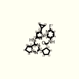 O=C(Nc1ccc(F)nc1)[C@@H]1CCC[C@H]1C1=NN2CCC=C2C(Nc2cc(C3CC3)[nH]n2)=N1